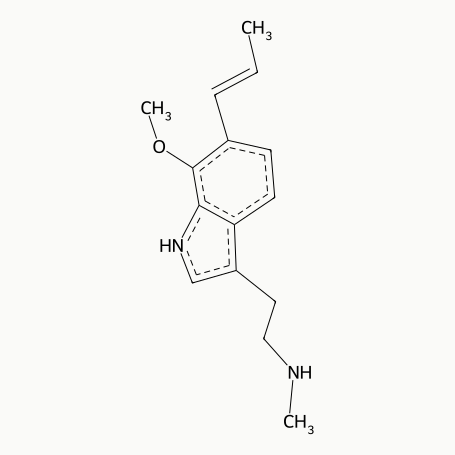 CC=Cc1ccc2c(CCNC)c[nH]c2c1OC